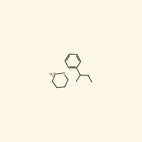 C1CC[SiH2]OC1.CCC(C)c1ccccc1